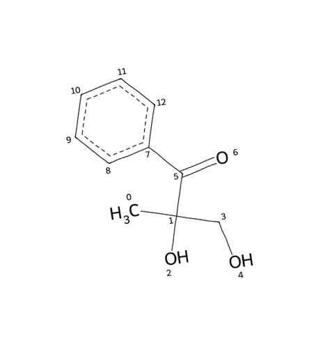 CC(O)(CO)C(=O)c1ccccc1